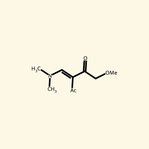 COCC(=O)/C(=C/N(C)C)C(C)=O